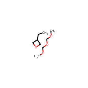 CCC1COC1.COCOCOC